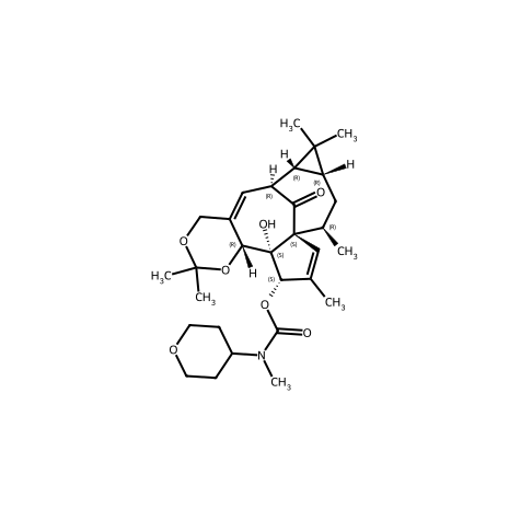 CC1=C[C@]23C(=O)[C@@H](C=C4COC(C)(C)O[C@H]4[C@]2(O)[C@H]1OC(=O)N(C)C1CCOCC1)[C@H]1[C@@H](C[C@H]3C)C1(C)C